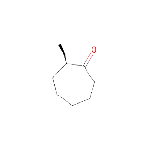 C[C@@H]1CCCCCC1=O